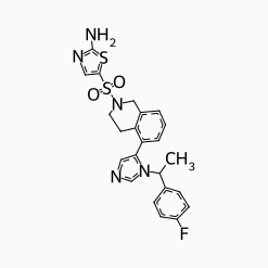 CC(c1ccc(F)cc1)n1cncc1-c1cccc2c1CCN(S(=O)(=O)c1cnc(N)s1)C2